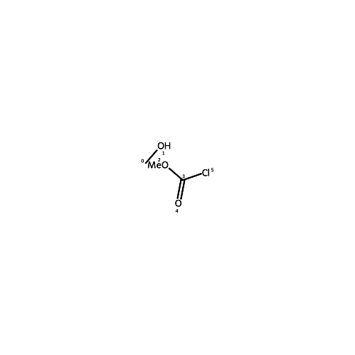 CO.COC(=O)Cl